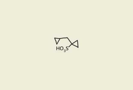 O=S(=O)(O)C1(CC2CC2)CC1